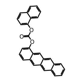 O=C(Oc1cccc2ccccc12)Oc1cccc2cc3cc4ccccc4cc3cc12